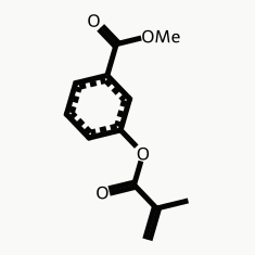 C=C(C)C(=O)Oc1cccc(C(=O)OC)c1